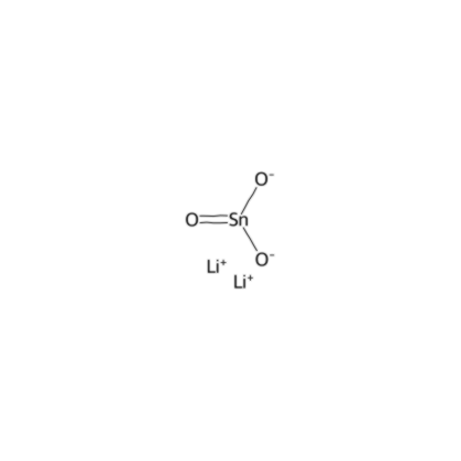 [Li+].[Li+].[O]=[Sn]([O-])[O-]